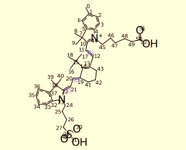 Cc1ccc2c(c1)C(C)(C)C(/C=C/C1=C(C(C)(C)C)C(=C/C=C3/N(CCCCS(=O)(=O)O)c4ccccc4C3(C)C)/CCC1)=[N+]2CCCCCC(=O)O